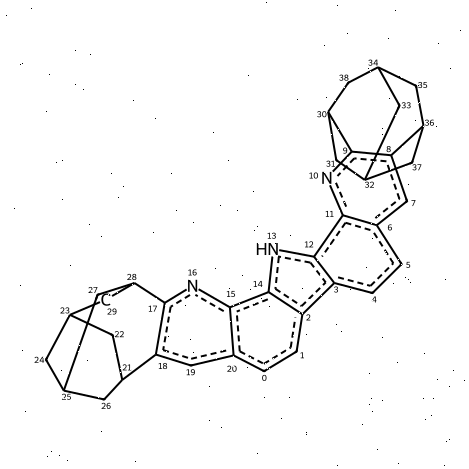 c1cc2c3ccc4cc5c(nc4c3[nH]c2c2nc3c(cc12)C1CC2CC(C1)CC3C2)C1CC2CC(CC5C2)C1